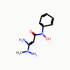 CN(N)/C(N)=C/C(=O)N(O)c1ccccc1